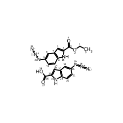 CCOC(=O)c1cc2cc(N=[N+]=[N-])ccc2[nH]1.[N-]=[N+]=Nc1ccc2[nH]c(C(=O)O)cc2c1